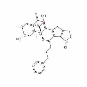 C[C@@H]1C=C2C(=O)C=C3C4=C(C5=C(CC[C@@H]5Cl)C4)N(CCCc4ccccc4)O[C@]3(C(=O)CO)[C@@]2(C)C[C@@H]1O